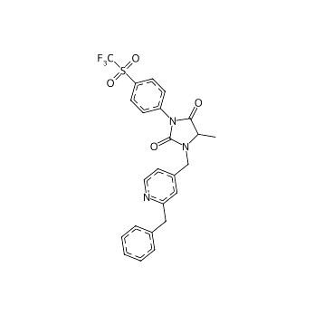 CC1C(=O)N(c2ccc(S(=O)(=O)C(F)(F)F)cc2)C(=O)N1Cc1ccnc(Cc2ccccc2)c1